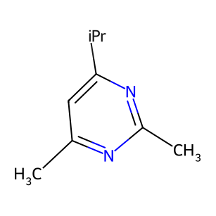 Cc1cc(C(C)C)nc(C)n1